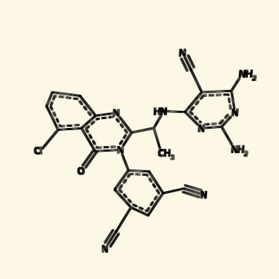 CC(Nc1nc(N)nc(N)c1C#N)c1nc2cccc(Cl)c2c(=O)n1-c1cc(C#N)cc(C#N)c1